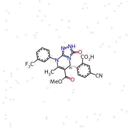 COC(=O)C1=C(C)N(c2cccc(C(F)(F)F)c2)c2n[nH]c(=O)n2[C@@H]1c1ccc(C#N)cc1C(=O)O